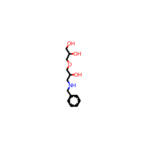 OCC(O)COCC(O)CNCc1ccccc1